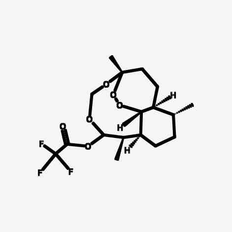 C[C@@H]1CC[C@@H]2[C@@H]3OO[C@@](C)(CC[C@H]31)OCOC(OC(=O)C(F)(F)F)[C@@H]2C